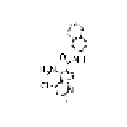 Cc1cc(Cl)c2c(N)c(C(=O)Nc3ccc4ccccc4c3)sc2n1